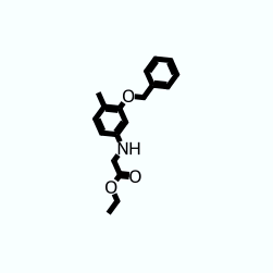 CCOC(=O)CNc1ccc(C)c(OCc2ccccc2)c1